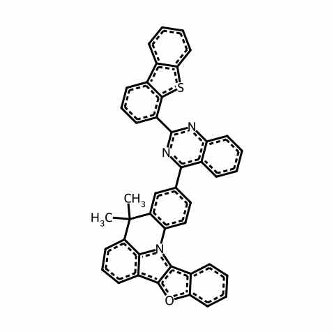 CC1(C)c2cc(-c3nc(-c4cccc5c4sc4ccccc45)nc4ccccc34)ccc2-n2c3c1cccc3c1oc3ccccc3c12